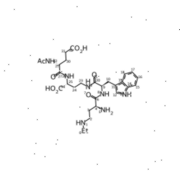 CCNCC[C@H](N)C(=O)N[C@H](Cc1c[nH]c2ccccc12)C(=O)NCC[C@@H](NC(=O)[C@@H](CCC(=O)O)NC(C)=O)C(=O)O